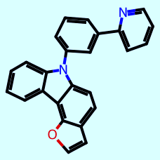 c1ccc(-c2cccc(-n3c4ccccc4c4c5occc5ccc43)c2)nc1